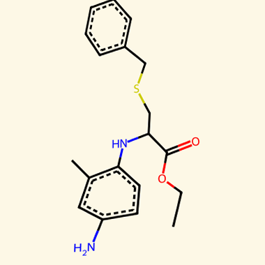 CCOC(=O)C(CSCc1ccccc1)Nc1ccc(N)cc1C